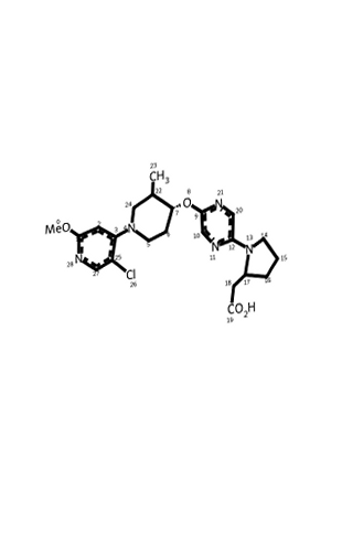 COc1cc(N2CC[C@@H](Oc3cnc(N4CCCC4CC(=O)O)cn3)C(C)C2)c(Cl)cn1